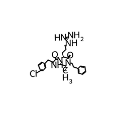 C[C@@H]1CN(C(=O)[C@H](N)Cc2ccc(Cl)cc2)[C@@H](CCCNC(=N)N)C(=O)N1CCc1ccccc1